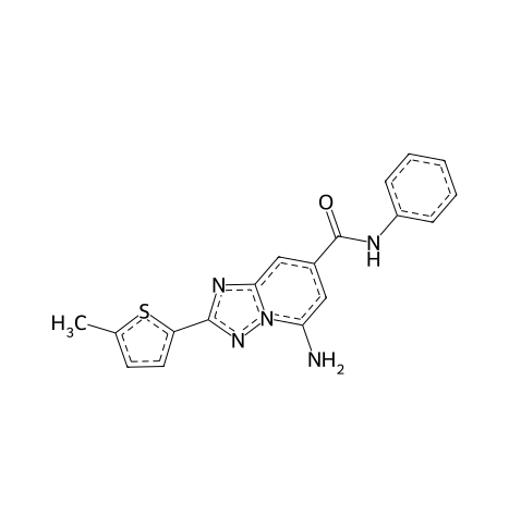 Cc1ccc(-c2nc3cc(C(=O)Nc4ccccc4)cc(N)n3n2)s1